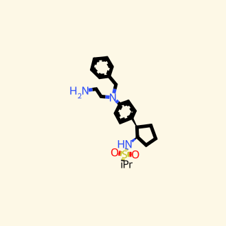 CC(C)S(=O)(=O)N[C@@H]1CCC[C@@H]1c1ccc(N(CCN)Cc2ccccc2)cc1